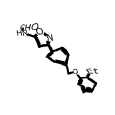 CCc1ccccc1OCc1ccc(-c2cc(NC=O)on2)cc1